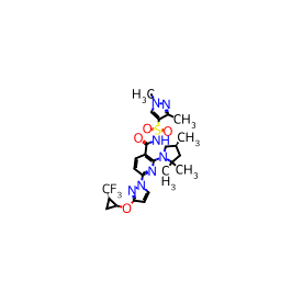 Cc1nn(C)cc1S(=O)(=O)NC(=O)c1ccc(-n2ccc(OC3C[C@@H]3C(F)(F)F)n2)nc1N1C[C@@H](C)CC1(C)C